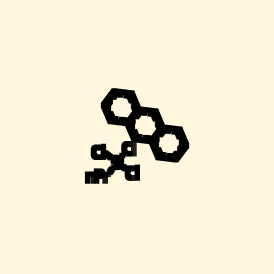 CCC[Si](Cl)(Cl)Cl.c1ccc2cc3ccccc3cc2c1